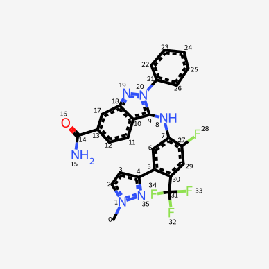 Cn1ccc(-c2cc(Nc3c4ccc(C(N)=O)cc4nn3-c3ccccc3)c(F)cc2C(F)(F)F)n1